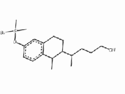 CC(CCCO)C1CCc2cc(O[Si](C)(C)C(C)(C)C)ccc2C1C